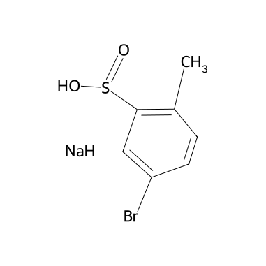 Cc1ccc(Br)cc1S(=O)O.[NaH]